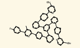 Cc1cc(-c2ccc(-c3ccccc3-c3cc(-c4ccccc4-c4ccc(-c5cc(C(C)(C)C)ccn5)cc4)cc(-c4ccccc4-c4ccc(-c5cc(C(C)(C)C)ccn5)cc4)c3)cc2)ncc1-c1ccc(F)cc1